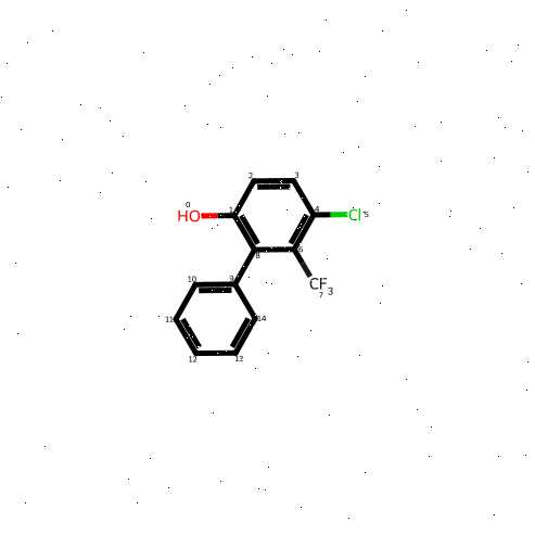 Oc1ccc(Cl)c(C(F)(F)F)c1-c1ccccc1